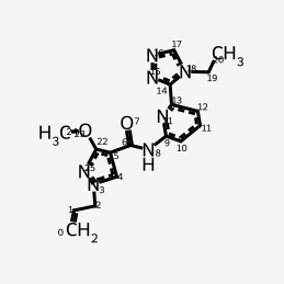 C=CCn1cc(C(=O)Nc2cccc(-c3nncn3CC)n2)c(OC)n1